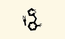 CC#N.Fc1ccccc1Cc1cccs1